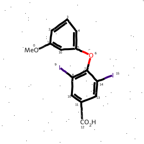 COc1cccc(Oc2c(I)cc(C(=O)O)cc2I)c1